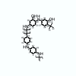 CC(C)(C)Nc1ccc(Nc2ccc(C(C)(C)C(C)(C)Nc3ccc(Nc4ccc(C(C)(C)C)c(O)c4)c(O)c3)cc2)cc1